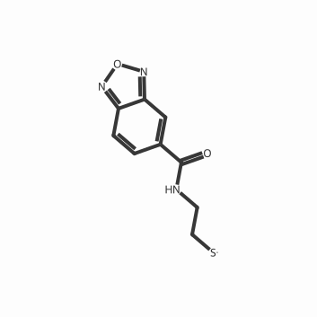 O=C(NCC[S])c1ccc2nonc2c1